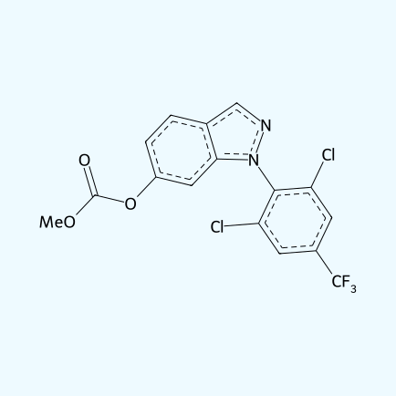 COC(=O)Oc1ccc2cnn(-c3c(Cl)cc(C(F)(F)F)cc3Cl)c2c1